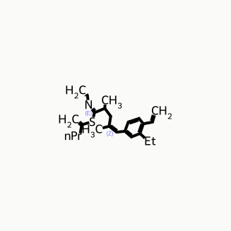 C=C/N=C(/SC(=C)CCC)C(C)C/C(C)=C\c1ccc(C=C)c(CC)c1